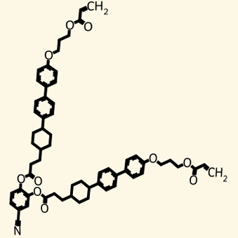 C=CC(=O)OCCCOc1ccc(-c2ccc(C3CCC(CCC(=O)Oc4ccc(C#N)cc4OC(=O)CCC4CCC(c5ccc(-c6ccc(OCCCOC(=O)C=C)cc6)cc5)CC4)CC3)cc2)cc1